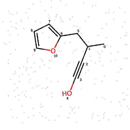 CC(C#CO)Cc1ccco1